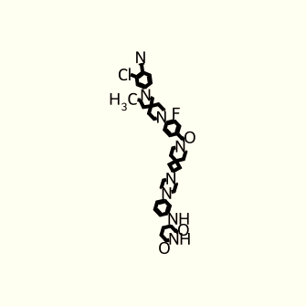 CC1CC2(CCN(c3ccc(C(=O)N4CCC5(CC4)CC(N4CCN(c6cccc(NC7CCC(=O)NC7=O)c6)CC4)C5)cc3F)CC2)CN1c1ccc(C#N)c(Cl)c1